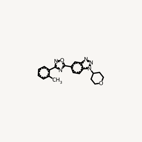 Cc1ccccc1-c1noc(-c2ccc3c(c2)nnn3C2CCOCC2)n1